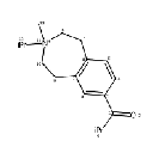 CC(C)C(=O)c1ccc2c(c1)CC[N+](C)(C(C)C)CC2